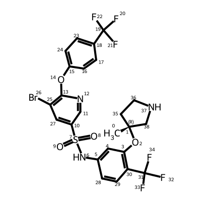 C[C@@]1(Oc2cc(NS(=O)(=O)c3cnc(Oc4ccc(C(F)(F)F)cc4)c(Br)c3)ccc2C(F)(F)F)CCNC1